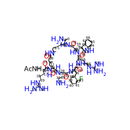 C=C(N)[C@@H]1CCCNC(=O)CC[C@H](NC(=O)[C@H](CCCNC(=N)N)NC(C)=O)C(=O)N[C@@H](CCN)C(=O)N[C@H](Cc2ccccc2F)C(=O)N[C@@H](CCCNC(=N)N)C(=O)N[C@@H](Cc2c[nH]c3ccccc23)C(=O)N1